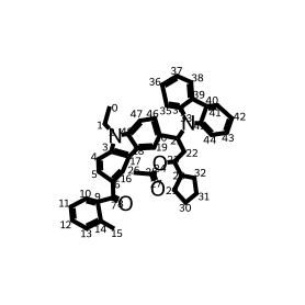 CCn1c2ccc(C(=O)c3ccccc3C)cc2c2cc(C(CC(OC(C)=O)C3CCCC3)n3c4ccccc4c4ccccc43)ccc21